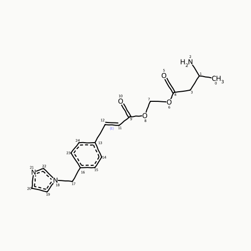 CC(N)CC(=O)OCOC(=O)/C=C/c1ccc(Cn2ccnc2)cc1